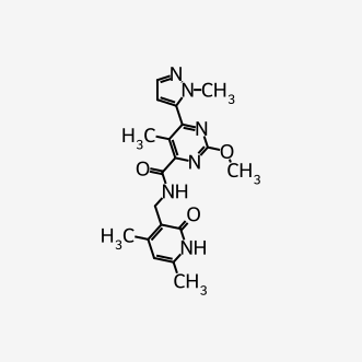 COc1nc(C(=O)NCc2c(C)cc(C)[nH]c2=O)c(C)c(-c2ccnn2C)n1